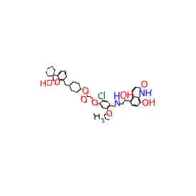 COc1cc(OCC(=O)OC2CCC(Cc3cccc(C4(C(=O)O)CCCCC4)c3)CC2)c(Cl)cc1CNCC(O)c1ccc(O)c2[nH]c(=O)ccc12